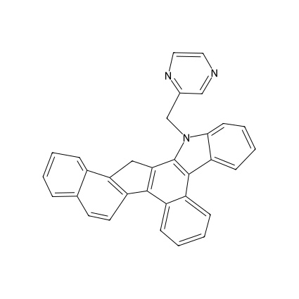 c1ccc2c3c(ccc2c1)-c1c(c2c(c4ccccc14)c1ccccc1n2Cc1cnccn1)C3